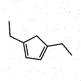 CCC1=CC=C(CC)C1